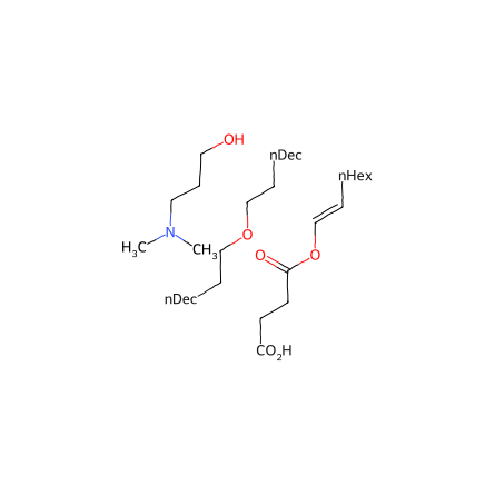 CCCCCCC=COC(=O)CCC(=O)O.CCCCCCCCCCCCOCCCCCCCCCCCC.CN(C)CCCO